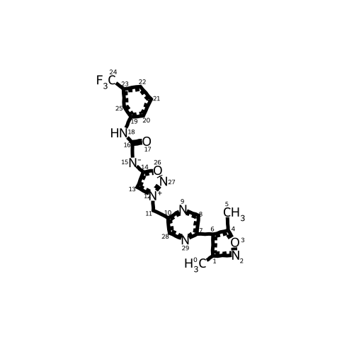 Cc1noc(C)c1-c1cnc(C[n+]2cc([N-]C(=O)Nc3cccc(C(F)(F)F)c3)on2)cn1